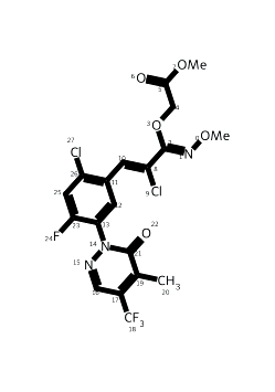 CON=C(OCC(=O)OC)C(Cl)=Cc1cc(-n2ncc(C(F)(F)F)c(C)c2=O)c(F)cc1Cl